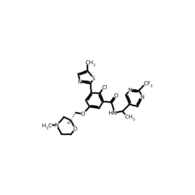 Cc1cnc(-c2cc(OC[C@H]3CN(C)CCO3)cc(C(=O)NC(C)c3cnc(C(F)(F)F)nc3)c2Cl)s1